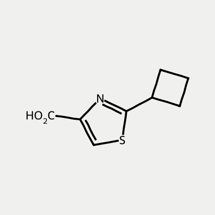 O=C(O)c1csc(C2CCC2)n1